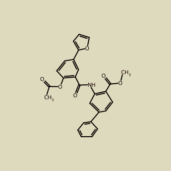 COC(=O)c1ccc(-c2ccccc2)cc1NC(=O)c1cc(-c2ccco2)ccc1OC(C)=O